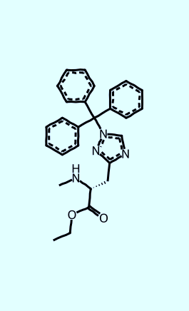 CCOC(=O)[C@@H](Cc1ncn(C(c2ccccc2)(c2ccccc2)c2ccccc2)n1)NC